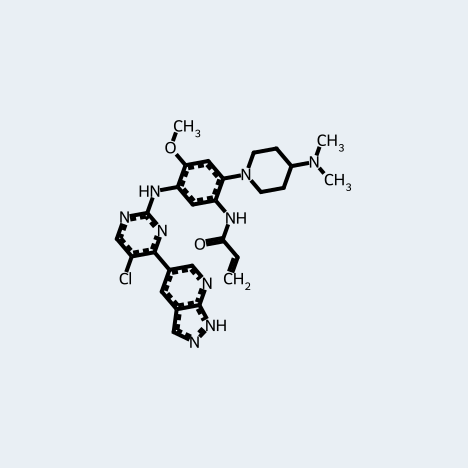 C=CC(=O)Nc1cc(Nc2ncc(Cl)c(-c3cnc4[nH]ncc4c3)n2)c(OC)cc1N1CCC(N(C)C)CC1